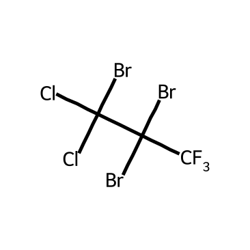 FC(F)(F)C(Br)(Br)C(Cl)(Cl)Br